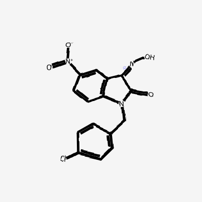 O=C1/C(=N\O)c2cc([N+](=O)[O-])ccc2N1Cc1ccc(Cl)cc1